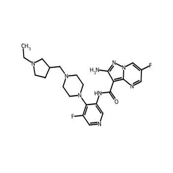 CCN1CCC(CN2CCN(c3c(F)cncc3NC(=O)c3c(N)nn4cc(F)cnc34)CC2)C1